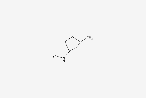 CC1CCC(NC(C)C)C1